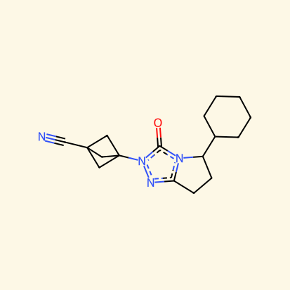 N#CC12CC(n3nc4n(c3=O)C(C3CCCCC3)CC4)(C1)C2